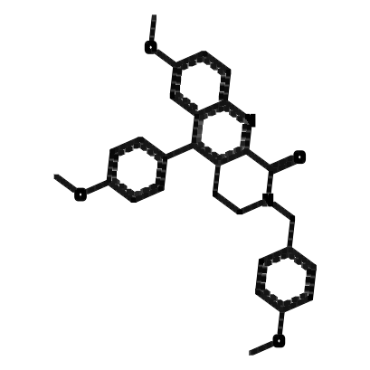 COc1ccc(CN2CCc3c(nc4ccc(OC)cc4c3-c3ccc(OC)cc3)C2=O)cc1